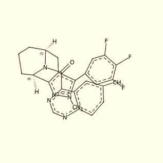 Cc1ccc2ncnc(C(=O)N3[C@H]4CCC[C@@H]3c3nn(C)c(-c5cc(F)c(F)c(F)c5)c3C4)c2c1